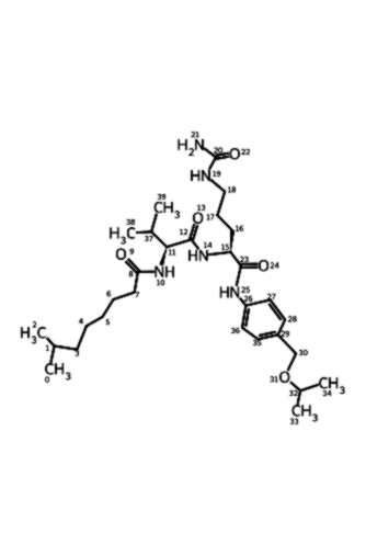 CC(C)CCCCCC(=O)N[C@H](C(=O)N[C@@H](CCCNC(N)=O)C(=O)Nc1ccc(COC(C)C)cc1)C(C)C